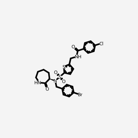 O=C(NCc1ccc(S(=O)(=O)N(Cc2ccc(Br)cc2)[C@@H]2CCCCNC2=O)s1)c1ccc(Cl)cc1